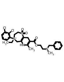 CC[N+]1(c2cccc(Cl)c2Cl)CCS(=O)(=O)C2=C(C1)NC(C)=C(C(=O)OCCN(C)Cc1ccccc1)C2